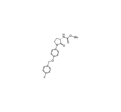 CC(C)(C)OC(=O)N[C@H]1CCN(c2ccc(OCc3ccc(F)cc3)cc2)C1=O